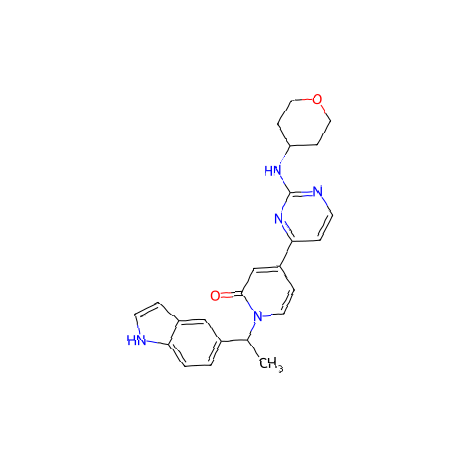 CC(c1ccc2[nH]ccc2c1)n1ccc(-c2ccnc(NC3CCOCC3)n2)cc1=O